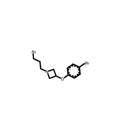 CC(=O)CCCN1CC(Oc2ccc(C(C)C)cc2)C1